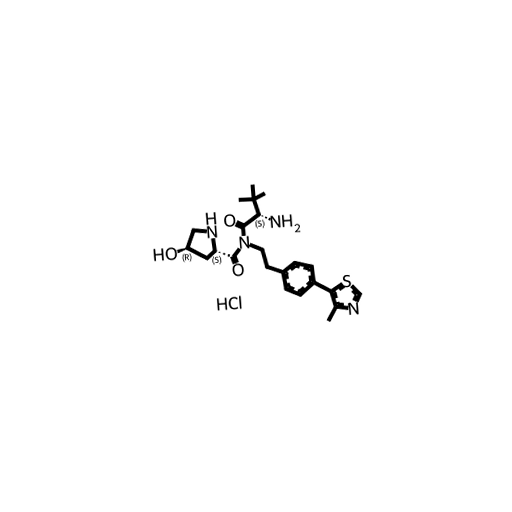 Cc1ncsc1-c1ccc(CCN(C(=O)[C@@H]2C[C@@H](O)CN2)C(=O)[C@@H](N)C(C)(C)C)cc1.Cl